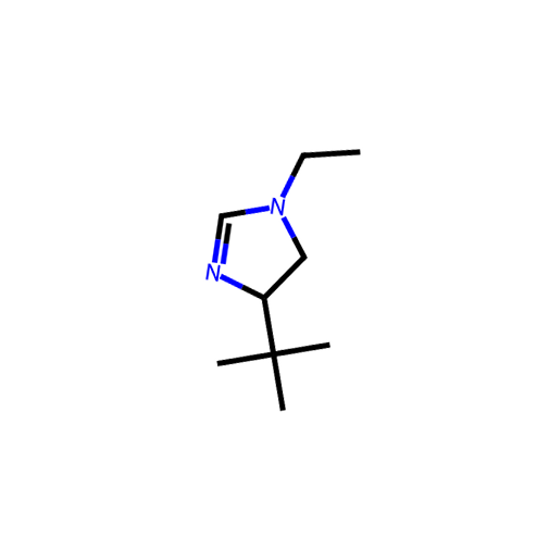 CCN1C=NC(C(C)(C)C)C1